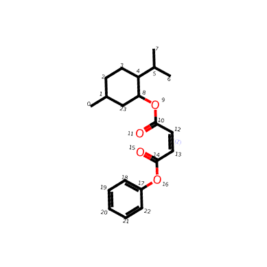 CC1CCC(C(C)C)C(OC(=O)/C=C\C(=O)Oc2ccccc2)C1